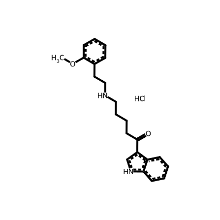 COc1ccccc1CCNCCCCC(=O)c1c[nH]c2ccccc12.Cl